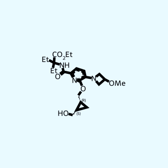 CCOC(=O)C(CC)(CC)NC(=O)c1ccc(N2CC(OC)C2)c(OC[C@@H]2C[C@@H]2CO)n1